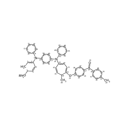 C/C=C(\C=C/COC)N(c1ccccc1)c1ccc(N(C2=CC=C(Oc3ccc(C(=O)c4ccc(C)cc4)cc3)C(C)C=C2)c2ccccc2)cc1